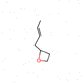 CC=C[CH]C1CCO1